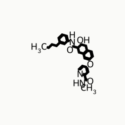 CCCCc1cccc(NC(=O)C2Cc3cc(Oc4ccnc(C(=O)NC)c4)ccc3CC2O)c1